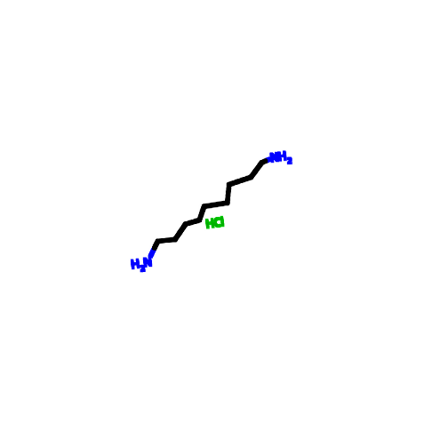 Cl.NCCCCCCCCCN